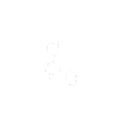 C1CC2OC2CC1C(OC(C1CCC2OC2C1)C1CO1)C1CO1